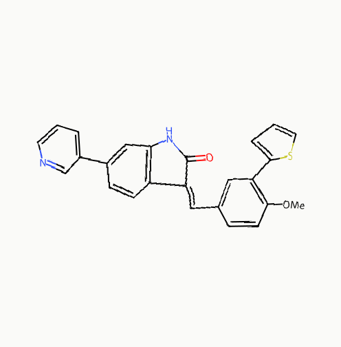 COc1ccc(C=C2C(=O)Nc3cc(-c4cccnc4)ccc32)cc1-c1cccs1